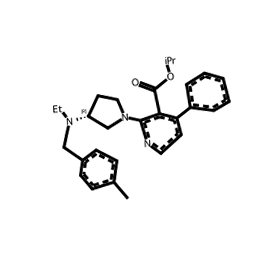 CCN(Cc1ccc(C)cc1)[C@@H]1CCN(c2nccc(-c3ccccc3)c2C(=O)OC(C)C)C1